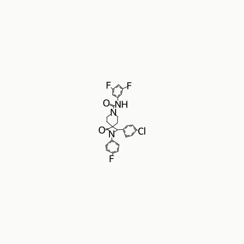 O=C(Nc1cc(F)cc(F)c1)N1CCC2(CC1)C(=O)N(c1ccc(F)cc1)C2c1ccc(Cl)cc1